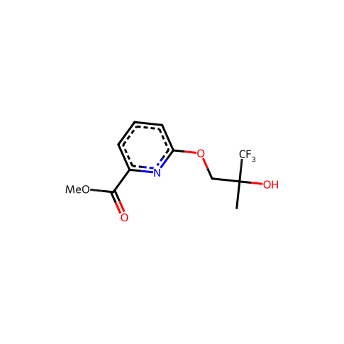 COC(=O)c1cccc(OCC(C)(O)C(F)(F)F)n1